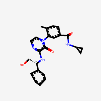 Cc1ccc(C(=O)NC2CC2)cc1-n1ccnc(N[C@@H](CO)c2ccccc2)c1=O